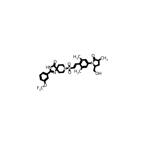 Cc1cc(N2C(=O)C(C)CC2CO)cc(C)c1C=CS(=O)(=O)N1CCC2(CC1)N=C(c1cccc(OC(F)(F)F)c1)NC2=O